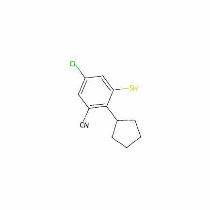 N#Cc1cc(Cl)cc(S)c1C1CCCC1